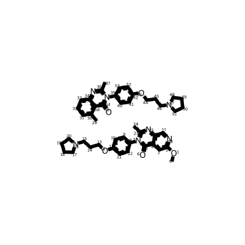 COc1cc2c(=O)n(-c3ccc(OCCCN4CCCC4)cc3)c(C)nc2cn1.Cc1cccc2nc(C)n(-c3ccc(OCCCN4CCCC4)cc3)c(=O)c12